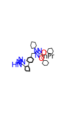 CCCC(OC1CCCCC1)(OC1CCCCC1)c1nc(Cc2ccc(-c3ccccc3-c3nnn[nH]3)cc2)n(C2CCCCC2)n1